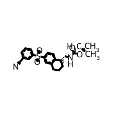 CC(C)(C)OC(=O)NC[C@@H]1CCCc2cc(S(=O)(=O)c3cccc(C#N)c3)ccc21